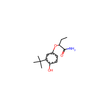 CCC(Oc1ccc(O)c(C(C)(C)C)c1)C(N)=O